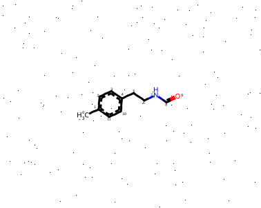 Cc1ccc(CCN[C]=O)cc1